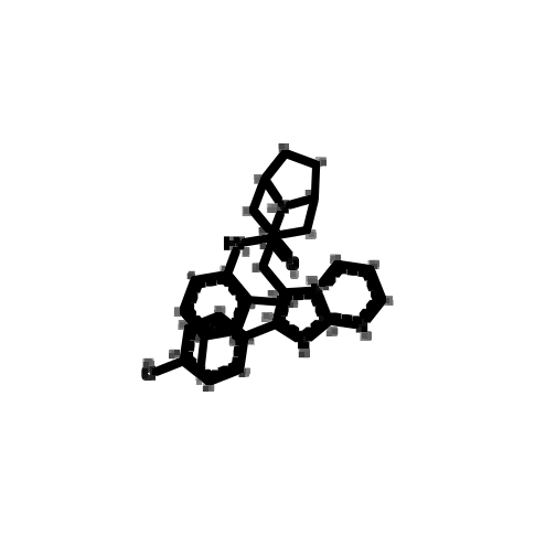 O=C(Nc1ccc(F)cc1F)N1C2CCC1CN(Cc1c(-c3ccc(Cl)cc3)nc3ncccn13)C2